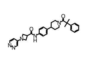 CC(C)(C(=O)N1CCC(c2ccc(NC(=O)C3CN(c4ccnnc4)C3)cc2)CC1)c1ccccc1